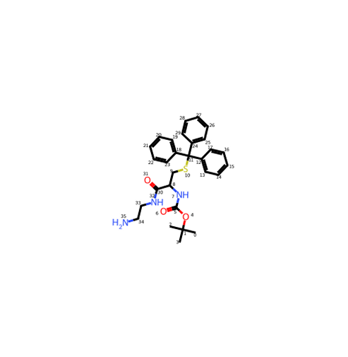 CC(C)(C)OC(=O)NC(CSC(c1ccccc1)(c1ccccc1)c1ccccc1)C(=O)NCCN